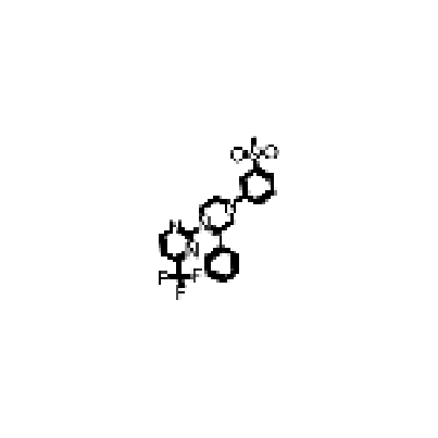 CS(=O)(=O)c1cccc(N2CCN(c3nccc(C(F)(F)F)n3)[C@H](c3ccccc3)C2)c1